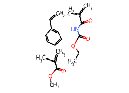 C=C(C)C(=O)NC(=O)OCC.C=C(C)C(=O)OC.C=Cc1ccccc1